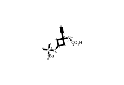 C#CC1(NC(=O)O)CC(O[Si](C)(C)C(C)(C)C)C1